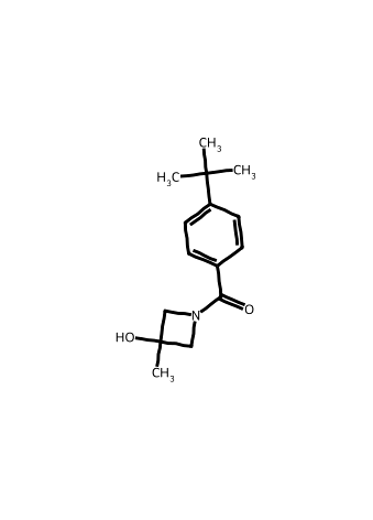 CC1(O)CN(C(=O)c2ccc(C(C)(C)C)cc2)C1